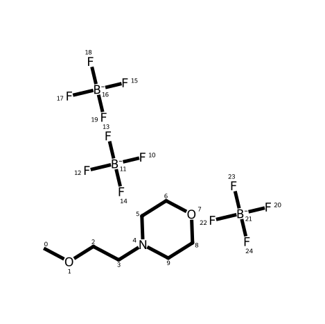 COCCN1CCOCC1.F[B-](F)(F)F.F[B-](F)(F)F.F[B-](F)(F)F